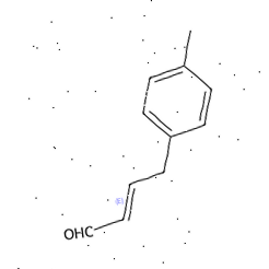 Cc1ccc(C/C=C/C=O)cc1